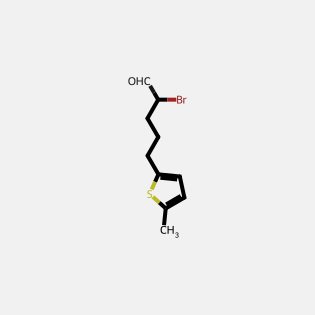 Cc1ccc(CCCC(Br)C=O)s1